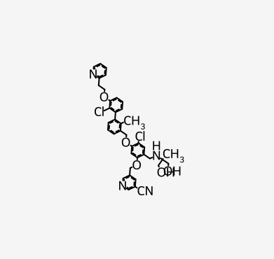 Cc1c(COc2cc(OCc3cncc(C#N)c3)c(CNC(C)(CO)CO)cc2Cl)cccc1-c1cccc(OCCc2ccccn2)c1Cl